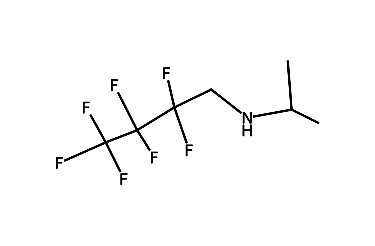 CC(C)NCC(F)(F)C(F)(F)C(F)(F)F